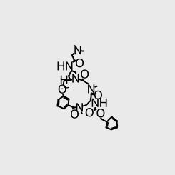 CN(C)CC(=O)N[C@H]1C[C@H]2COc3cccc(c3)C(=O)N(C)C[C@H](NC(=O)OCc3ccccc3)C(=O)N(C)CC(=O)N2C1